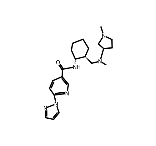 CN1CCC(N(C)C[C@@H]2CCCC[C@H]2NC(=O)c2ccc(-n3cccn3)nc2)C1